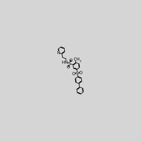 Cc1ccc(S(=O)(=O)c2ccc(-c3ccccc3)cc2)cc1S(=O)(=O)NCCc1ccccn1